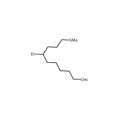 CCC(CCCCCOC(C)=O)CCCSC